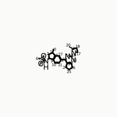 CC1CC(NS(C)(=O)=O)c2ccc(-c3nc(N4CC[C@@H]4C)nc4c3CCC4)cc21